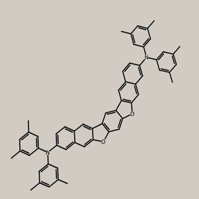 Cc1cc(C)cc(N(c2cc(C)cc(C)c2)c2ccc3cc4c(cc3c2)oc2cc3oc5cc6cc(N(c7cc(C)cc(C)c7)c7cc(C)cc(C)c7)ccc6cc5c3cc24)c1